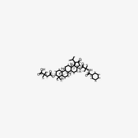 CC(C)C1=C2[C@H]3CC[C@@H]4[C@@]5(C)CC[C@H](OC(=O)CC(C)(C)C(=O)O)C(C)(C)[C@@H]5CC[C@@]4(C)[C@]3(C)CC[C@@]2(NC(=O)C(C)(C)NC(=O)C2CCCCC2)CC1=O